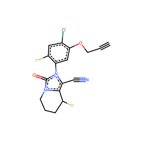 C#CCOc1cc(-n2c(C#N)c3n(c2=O)CCCC3F)c(F)cc1Cl